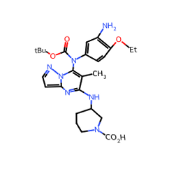 CCOc1ccc(N(C(=O)OC(C)(C)C)c2c(C)c(NC3CCCN(C(=O)O)C3)nc3ccnn23)cc1N